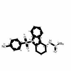 CC(C)(C)[S@@+]([O-])N[C@@H]1CCCc2c1c1ccccc1n2S(=O)(=O)c1ccc(C#N)cc1